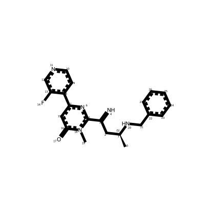 C[C@@H](CC(=N)c1nc(-c2ccncc2F)cc(=O)n1C)NCc1ccccc1